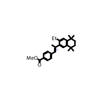 CCc1cc2c(cc1/C(C)=C/c1ccc(C(=O)OC)cc1)C(C)(C)CCC2(C)C